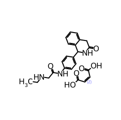 CCNCC(=O)Nc1ccc(C2NC(=O)Cc3ccccc32)cc1.O=C(O)/C=C\C(=O)O